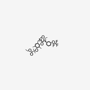 CCOC(=O)C(C)(C)Oc1c(C)cc(CN(C=O)C(=O)N(CC)c2cccc(OC(F)(F)F)c2)cc1C